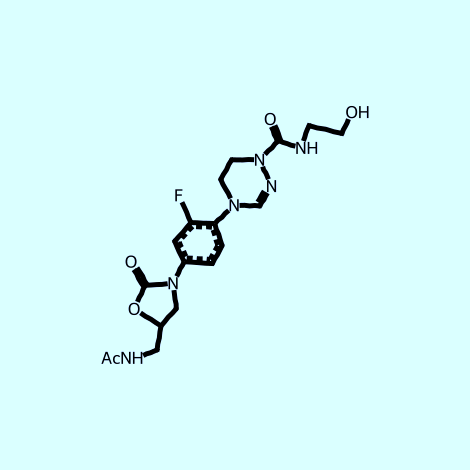 CC(=O)NCC1CN(c2ccc(N3C=NN(C(=O)NCCO)CC3)c(F)c2)C(=O)O1